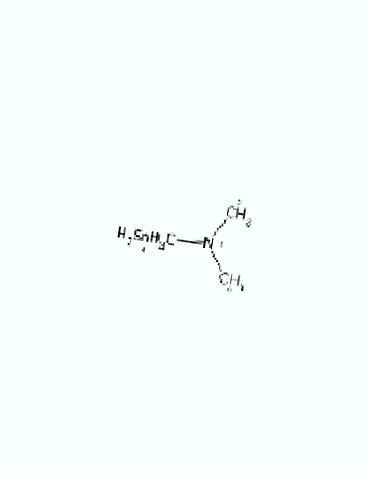 CN(C)C.[SnH2]